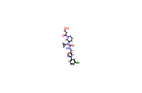 O=C(CCO)N1CCC[C@@H](N(C(=O)NCc2cc(-c3cccc(Br)c3)no2)C2CC2)C1